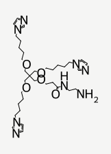 NCCNC(=O)CCOCC(COCCCCCn1ccnc1)(COCCCCCn1ccnc1)COCCCCCn1ccnc1